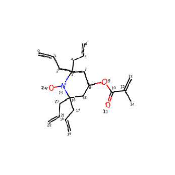 C=CCC1(CC=C)CC(OC(=O)C(=C)C)CC(CC=C)(CC=C)N1[O]